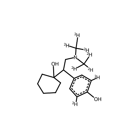 [2H]c1cc(C(CN(C([2H])([2H])[2H])C([2H])([2H])[2H])C2(O)CCCCC2)cc([2H])c1O